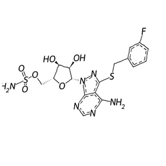 Nc1ncnc2c1c(SCc1cccc(F)c1)nn2[C@@H]1O[C@H](COS(N)(=O)=O)[C@@H](O)[C@H]1O